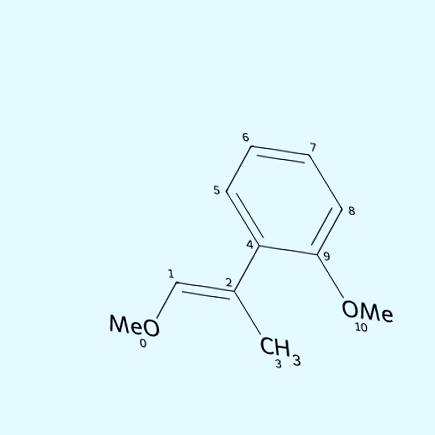 CO/C=C(\C)c1ccccc1OC